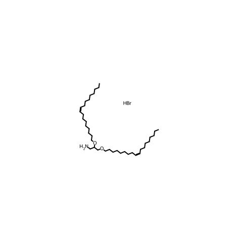 Br.CCCCCCCC/C=C\CCCCCCCCOCC(CN)OCCCCCCCC/C=C\CCCCCCCC